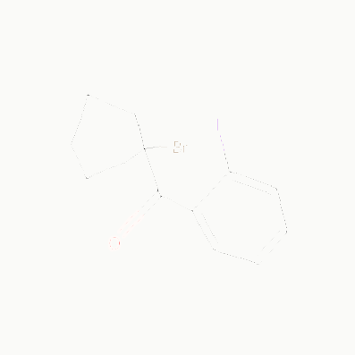 O=C(c1ccccc1I)C1(Br)CCCC1